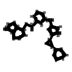 c1ccc([C@@H]2C[C@H]2c2cc(Nc3ccnc(NCc4cccc5[nH]ccc45)n3)n[nH]2)cc1